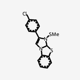 CSN1C(c2ccc(Cl)cc2)=CN2c3ccccc3SC12